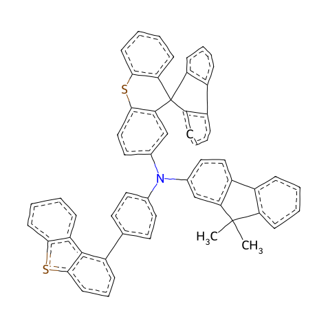 CC1(C)c2ccccc2-c2ccc(N(c3ccc(-c4cccc5sc6ccccc6c45)cc3)c3ccc4c(c3)C3(c5ccccc5S4)c4ccccc4-c4ccccc43)cc21